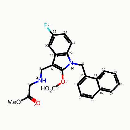 COC(=O)CNCc1c(OC(=O)O)n(Cc2cccc3ccccc23)c2ccc(F)cc12